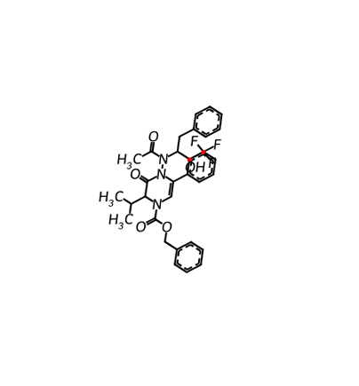 CC(=O)N(C(Cc1ccccc1)C(O)C(F)(F)F)N1C(=O)C(C(C)C)N(C(=O)OCc2ccccc2)C=C1c1ccccc1